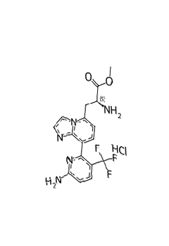 COC(=O)[C@@H](N)Cc1ccc(-c2nc(N)ccc2C(F)(F)F)c2nccn12.Cl